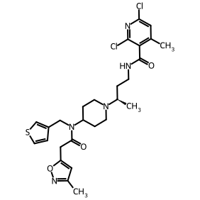 Cc1cc(CC(=O)N(Cc2ccsc2)C2CCN([C@H](C)CCNC(=O)c3c(C)cc(Cl)nc3Cl)CC2)on1